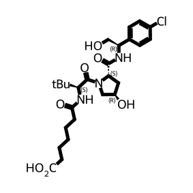 CC(C)(C)[C@H](NC(=O)CCCCCC(=O)O)C(=O)N1C[C@H](O)C[C@H]1C(=O)N[C@@H](CO)c1ccc(Cl)cc1